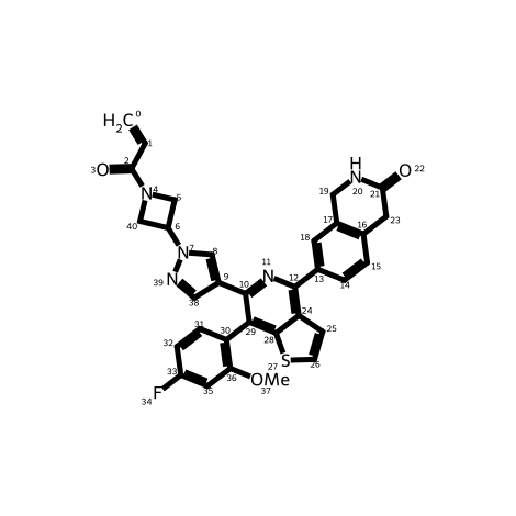 C=CC(=O)N1CC(n2cc(-c3nc(-c4ccc5c(c4)CNC(=O)C5)c4ccsc4c3-c3ccc(F)cc3OC)cn2)C1